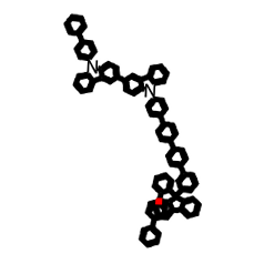 c1ccc(-c2ccc(-c3ccccc3C3(c4cccc(-c5ccc(-c6ccc(-c7ccc(-n8c9ccccc9c9cc(-c%10ccc%11c(c%10)c%10ccccc%10n%11-c%10ccc(-c%11ccccc%11)cc%10)ccc98)cc7)cc6)cc5)c4)c4ccccc4-c4ccccc43)cc2)cc1